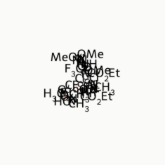 CCOC(=O)C(Cl)Cc1cc(-n2nc(C)n(C(F)F)c2=O)c(F)cc1Cl.CCOC(=O)C1=NOC(c2ccccc2)(c2ccccc2)C1.COc1cc(OC)n2nc(NS(=O)(=O)c3c(C(F)(F)F)ccnc3OC)nc2n1.Cc1nn(C)c(O)c1C(=O)c1ccc(C(F)(F)F)cc1S(C)(=O)=O